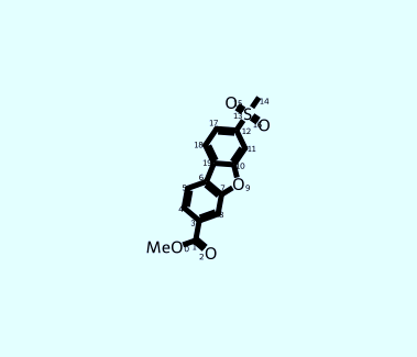 COC(=O)c1ccc2c(c1)oc1cc(S(C)(=O)=O)ccc12